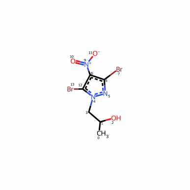 CC(O)Cn1nc(Br)c([N+](=O)[O-])c1Br